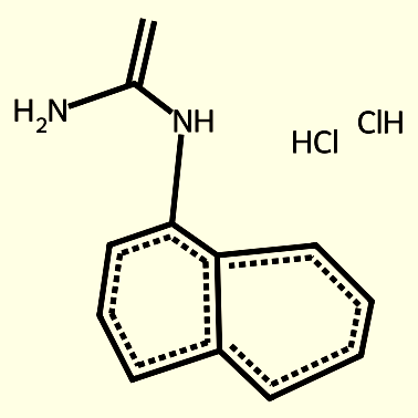 C=C(N)Nc1cccc2ccccc12.Cl.Cl